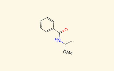 [CH2]C(NC(=O)c1ccccc1)OC